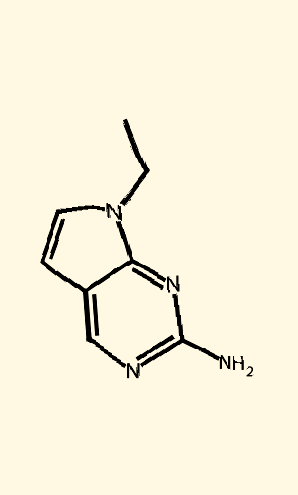 CCn1ccc2cnc(N)nc21